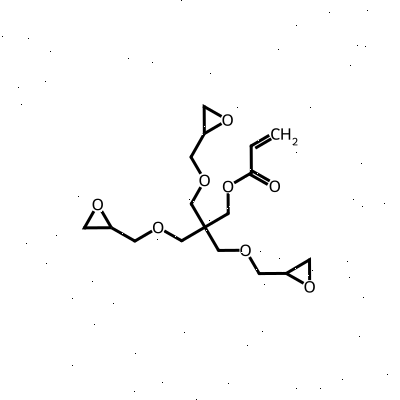 C=CC(=O)OCC(COCC1CO1)(COCC1CO1)COCC1CO1